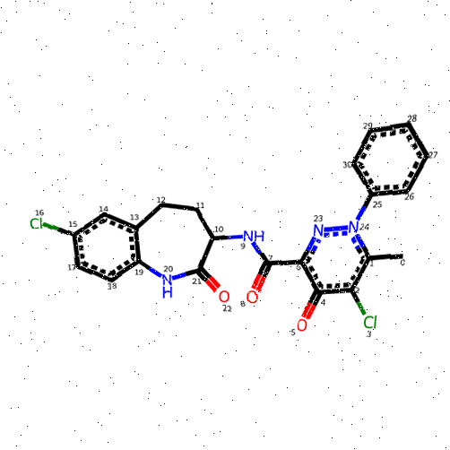 Cc1c(Cl)c(=O)c(C(=O)NC2CCc3cc(Cl)ccc3NC2=O)nn1-c1ccccc1